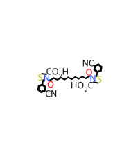 N#Cc1cccc(C2SC[C@@H](C(=O)O)N2C(=O)CCCCCCCCCCC(=O)N2C(c3cccc(C#N)c3)SC[C@H]2C(=O)O)c1